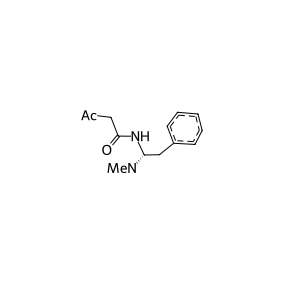 CN[C@@H](Cc1ccccc1)NC(=O)CC(C)=O